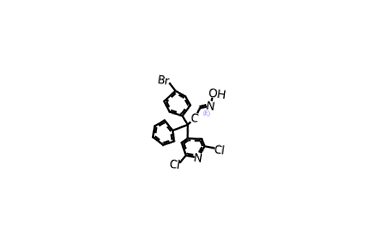 O/N=C/CC(c1ccccc1)(c1ccc(Br)cc1)c1cc(Cl)nc(Cl)c1